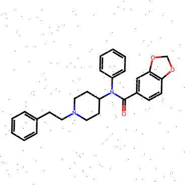 O=C(c1ccc2c(c1)OCO2)N(c1ccccc1)C1CCN(CCc2ccccc2)CC1